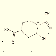 CC1CC(C(=O)O)CC[C@@H]1C(=O)O